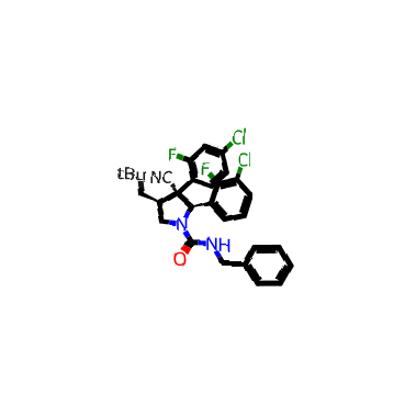 CC(C)(C)C[C@@H]1CN(C(=O)NCc2ccccc2)[C@H](c2cccc(Cl)c2F)[C@@]1(C#N)c1ccc(Cl)cc1F